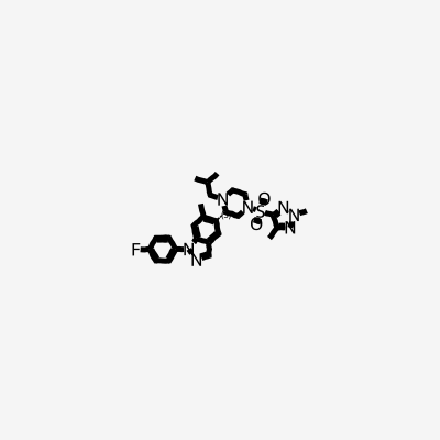 Cc1cc2c(cnn2-c2ccc(F)cc2)cc1[C@H]1CN(S(=O)(=O)c2nn(C)nc2C)CCN1CC(C)C